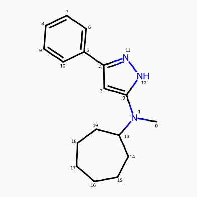 CN(c1cc(-c2ccccc2)n[nH]1)C1CCCCCC1